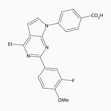 CCc1nc(-c2ccc(OC)c(F)c2)nc2c1ccn2-c1ccc(C(=O)O)cc1